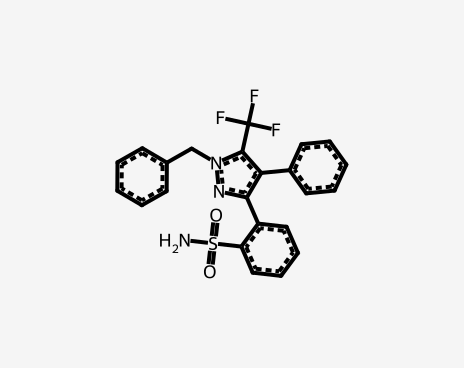 NS(=O)(=O)c1ccccc1-c1nn(Cc2ccccc2)c(C(F)(F)F)c1-c1ccccc1